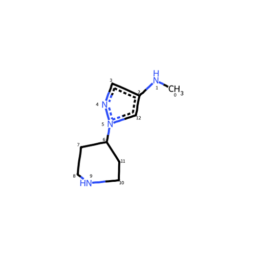 CNc1cnn(C2CCNCC2)c1